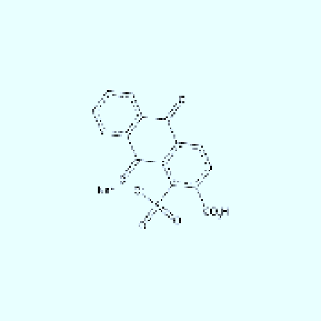 O=C1c2ccccc2C(=O)c2c1ccc(C(=O)O)c2S(=O)(=O)[O-].[Na+]